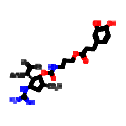 CCC(CC)[C@H](NC(C)=O)[C@@H]1[C@H](OC(=O)NCCCOC(=O)/C=C/c2ccc(O)c(O)c2)[C@@H](C(=O)O)C[C@H]1NC(=N)N